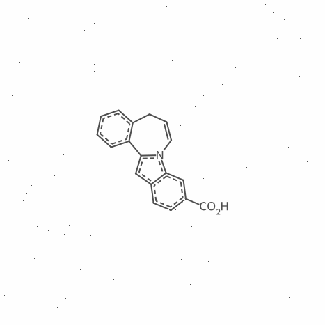 O=C(O)c1ccc2cc3n(c2c1)C=CCc1ccccc1-3